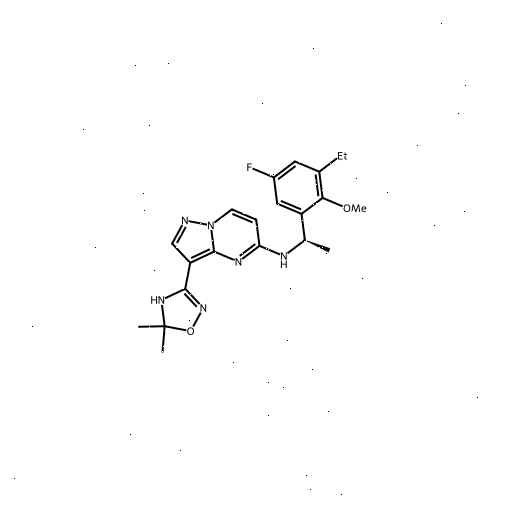 CCc1cc(F)cc([C@@H](C)Nc2ccn3ncc(C4=NOC(C)(C)N4)c3n2)c1OC